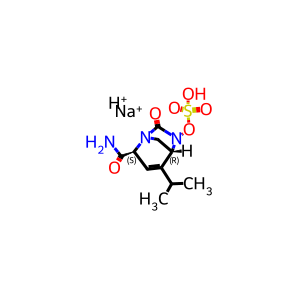 CC(C)C1=C[C@@H](C(N)=O)N2C[C@@H]1N(OS(=O)(=O)O)C2=O.[H+].[Na+]